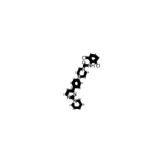 O=C(Nc1c(Cl)cccc1Cl)N1CCN(c2ccc(-c3ccnc(N4CCCCC4)n3)cc2)CC1